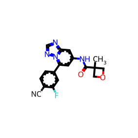 CC1(C(=O)Nc2cc(-c3ccc(C#N)c(F)c3)n3ncnc3c2)COC1